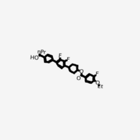 CCCC(O)c1ccc(-c2ccc(C3CCC(OC(=O)c4ccc(OCC)c(F)c4)CC3)c(F)c2F)cc1